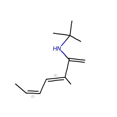 C=C(NC(C)(C)C)/C(C)=C/C=C\C